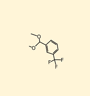 COC(OC)c1cccc(C(F)(F)F)c1